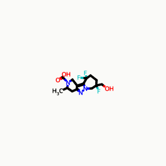 CC1Cc2nn3c(c2CN1C(=O)O)C(F)(F)CCC(F)(CO)C3